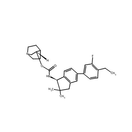 CCc1ccc(-c2ccc3c(c2)CC(C)(C)[C@H]3NC(=O)O[C@@H]2CN3CCC2CC3)cc1F